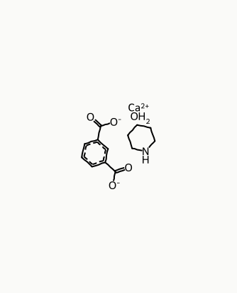 C1CCNCC1.O.O=C([O-])c1cccc(C(=O)[O-])c1.[Ca+2]